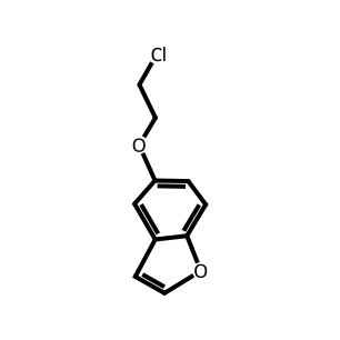 ClCCOc1ccc2occc2c1